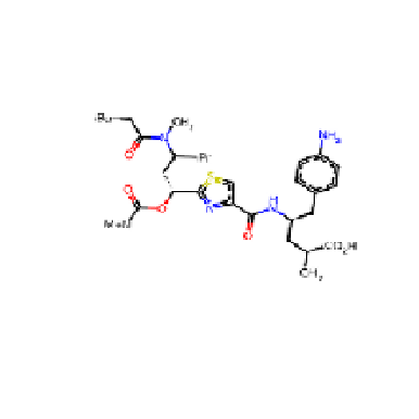 CC[C@H](C)CC(=O)N(C)C(C[C@@H](OC(=O)NC)c1nc(C(=O)N[C@@H](Cc2ccc(N)cc2)C[C@H](C)C(=O)O)cs1)C(C)C